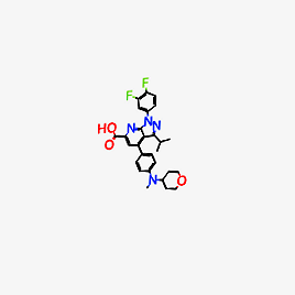 CC(C)c1nn(-c2ccc(F)c(F)c2)c2nc(C(=O)O)cc(-c3ccc(N(C)C4CCOCC4)cc3)c12